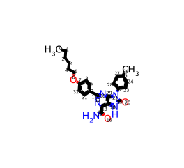 CCCCCCOc1ccc(-c2nc(C(N)=O)c3[nH]c(=O)n(-c4ccc(C)cc4)c3n2)cc1